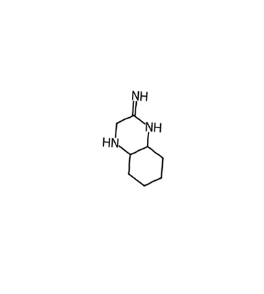 N=C1CNC2CCCCC2N1